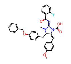 COc1ccc(C=C2C(Cc3ccc(OCc4ccccc4)cc3)N(C)C(=NC(=O)c3ccccc3F)N2C(=O)O)cc1